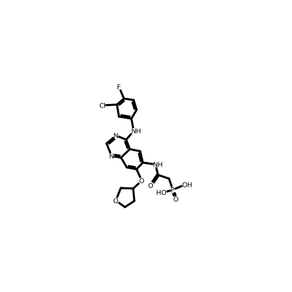 O=C(CP(=O)(O)O)Nc1cc2c(Nc3ccc(F)c(Cl)c3)ncnc2cc1OC1CCOC1